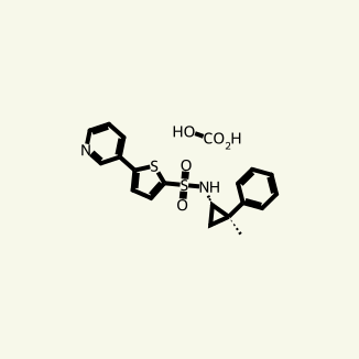 C[C@]1(c2ccccc2)C[C@@H]1NS(=O)(=O)c1ccc(-c2cccnc2)s1.O=C(O)O